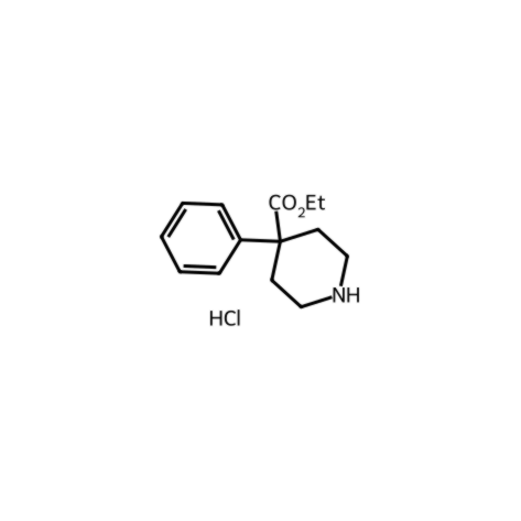 CCOC(=O)C1(c2ccccc2)CCNCC1.Cl